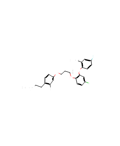 CCOC(=O)CCc1ccc(OCC[C@H](C)Oc2ccc(Cl)cc2Oc2ccc(F)cc2C)cc1CC